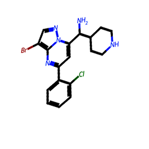 NC(c1cc(-c2ccccc2Cl)nc2c(Br)cnn12)C1CCNCC1